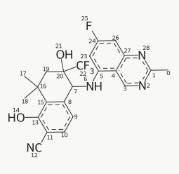 Cc1ncc2c(NC3c4ccc(C#N)c(O)c4C(C)(C)CC3(O)C(F)(F)F)cc(F)cc2n1